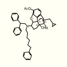 CC(=O)Oc1ccc2c3c1OC1C(N(CCCCCCc4ccccc4)CC(c4ccccc4)c4ccccc4)CC[C@@]4(O)[C@@H](C2)N(CC2CC2)CC[C@]314